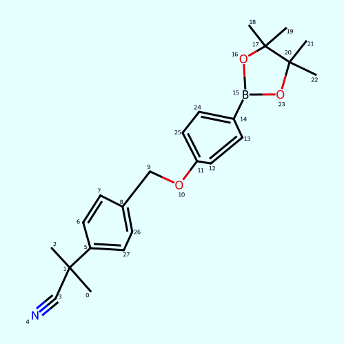 CC(C)(C#N)c1ccc(COc2ccc(B3OC(C)(C)C(C)(C)O3)cc2)cc1